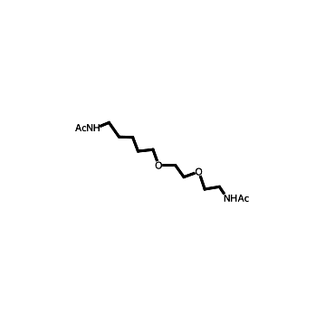 CC(=O)NCCCCCOCCOCCNC(C)=O